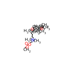 C=COC(=O)OCC[N+](C)(C)CCCC[Si](C)(C)O[Si](C)(C)CC[Si](C)(C)O[Si](C)(C)C